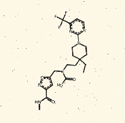 CCC1(CCN(Cc2cc(C(=O)NC)no2)C(=O)O)CCN(c2nccc(C(F)(F)F)n2)CC1